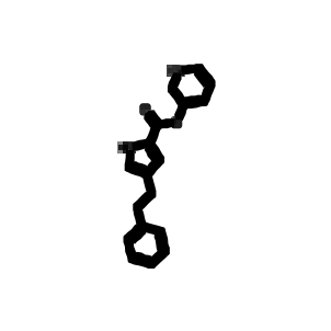 O=C(OC1=CC=CNC1)c1cc(CCc2ccccc2)c[nH]1